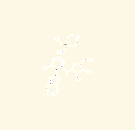 CCC1(CNc2nc(C)c(-c3nc4cnccc4s3)c(N[C@@H]3C[C@H](CO)[C@@H](O)[C@H]3O)n2)CCNCC1